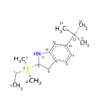 CCS(C)(C)C1Cc2ccc(C(C)(C)C)cc2N1